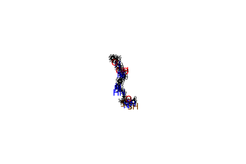 Cc1ccnc(-n2c(S)nc3sc(C)c(C#CCNCc4cnn(Cc5ccc(-c6ccc7c(=O)n(CC8(O)CCN(C(=O)C[C@@H](C)c9ccccc9)CC8)cnn67)cc5)c4)c3c2=O)c1